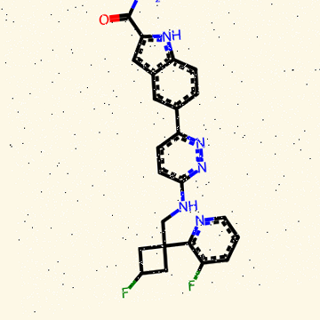 NC(=O)c1cc2cc(-c3ccc(NCC4(c5ncccc5F)CC(F)C4)nn3)ccc2[nH]1